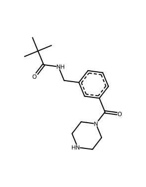 CC(C)(C)C(=O)NCc1cccc(C(=O)N2CCNCC2)c1